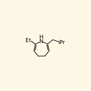 CCC1=CCCC=C(CC(C)C)N1